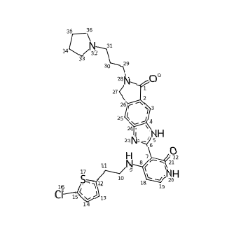 O=C1c2cc3[nH]c(-c4c(NCCc5ccc(Cl)s5)cc[nH]c4=O)nc3cc2CN1CCCN1CCCC1